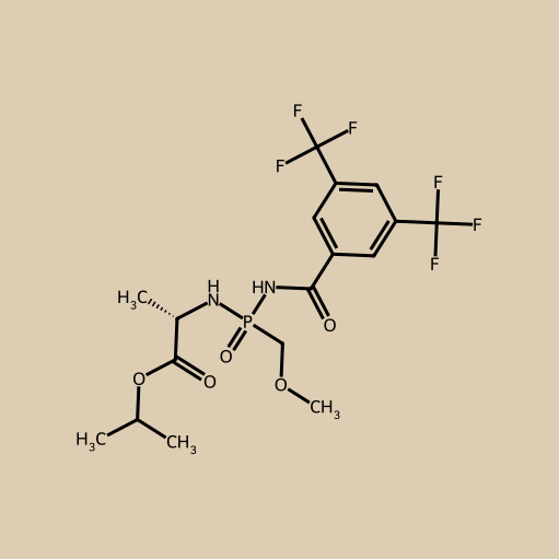 COCP(=O)(NC(=O)c1cc(C(F)(F)F)cc(C(F)(F)F)c1)N[C@@H](C)C(=O)OC(C)C